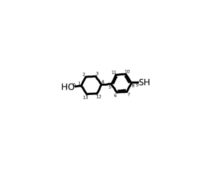 OC1CCC(c2ccc(S)cc2)CC1